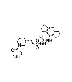 CC(C)(C)OC(=O)N1CCCC(C=CS(=O)(=O)NC(=O)Nc2c3c(cc4c2CCC4)CCC3)C1